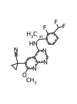 COc1nc2ncnc(N[C@H](C)c3cccc(C(F)F)c3F)c2cc1C1(C#N)CC1